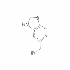 CC(C)Cc1ccc2c(c1)NCS2